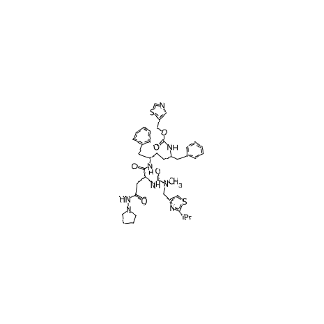 CC(C)c1nc(CN(C)C(=O)NC(CC(=O)NN2CCCC2)C(=O)NC(CCC(Cc2ccccc2)NC(=O)OCc2cncs2)Cc2ccccc2)cs1